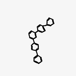 c1ccc(-c2ccc(-c3cccc(-c4ccc(-c5ccccc5)cc4)c3)cc2)cc1